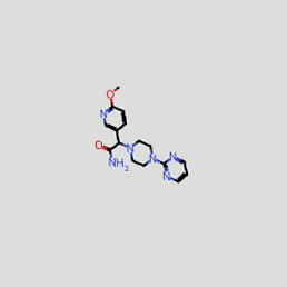 COc1ccc(C(C(N)=O)N2CCN(c3ncccn3)CC2)cn1